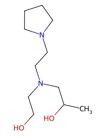 CC(O)CN(CCO)CCN1CCCC1